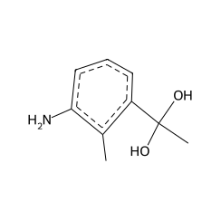 Cc1c(N)cccc1C(C)(O)O